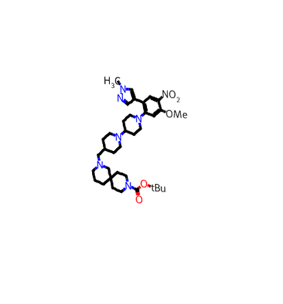 COc1cc(N2CCC(N3CCC(CN4CCCC5(CCN(C(=O)OC(C)(C)C)CC5)C4)CC3)CC2)c(-c2cnn(C)c2)cc1[N+](=O)[O-]